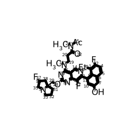 CCc1c(F)ccc2cc(O)cc(-c3ncc4c(N(C)CCC(=O)N(C)C(C)=O)nc(OC[C@@]56CCCN5C[C@H](F)C6)nc4c3F)c12